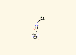 CN[C@H](CC[C@@H]1CCN(CC#Cc2cc(F)cc(F)c2)C[C@@H]1C(=O)O)c1ccnc2ccc(OC)cc12